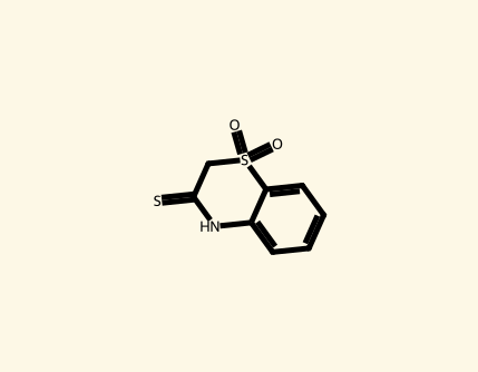 O=S1(=O)CC(=S)Nc2ccccc21